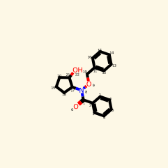 O=C(c1ccccc1)N(OCc1ccccc1)C1CCCC1O